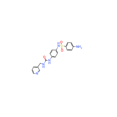 Nc1ccc(S(=O)(=O)Nc2ccc(NC(=O)NCc3cccnc3)cc2)cc1